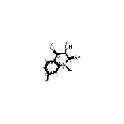 Cc1ccc2c(c1)N(C)C(=S)C(O)C2=O